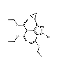 CCOC(=O)c1c(Br)nn(C2CC2)c1C(C(=O)OCC)C(=O)OCC